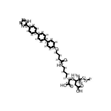 [3H]C([3H])(SSI)C(CC(=O)O)N[C@@H](CCCCNC(=O)CCCOc1ccc(-c2ccc(-c3ccc(-c4nnn[nH]4)cc3)cc2)cc1)C(=O)O